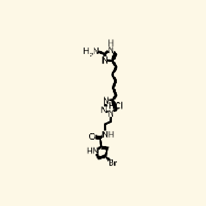 Cl.Nc1nc(CCCCCc2cn(CCNC(=O)c3cc(Br)c[nH]3)nn2)c[nH]1